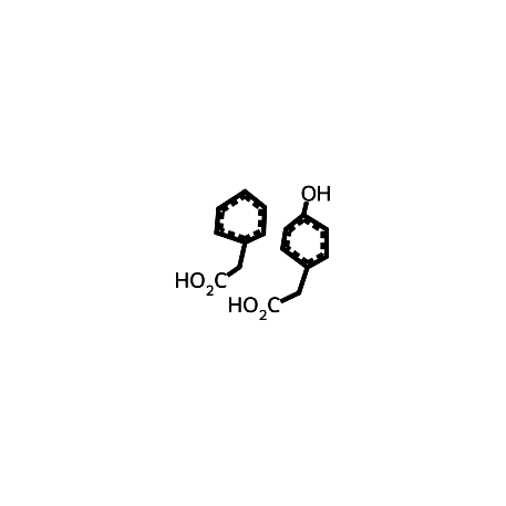 O=C(O)Cc1ccc(O)cc1.O=C(O)Cc1ccccc1